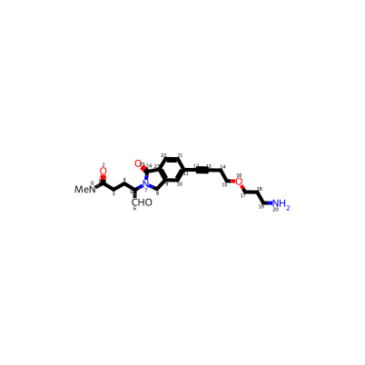 CNC(=O)CCC(C=O)N1Cc2cc(C#CCCOCCCN)ccc2C1=O